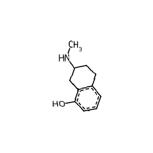 CNC1CCc2cccc(O)c2C1